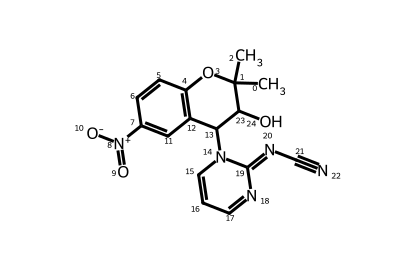 CC1(C)Oc2ccc([N+](=O)[O-])cc2C(n2cccnc2=NC#N)C1O